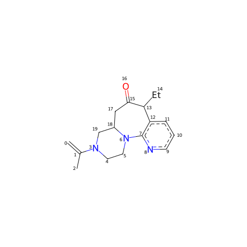 C=C(C)N1CCN2c3ncccc3C(CC)C(=O)CC2C1